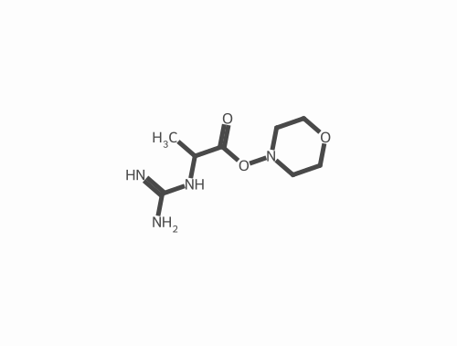 CC(NC(=N)N)C(=O)ON1CCOCC1